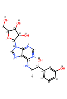 C[C@H](Nc1ncnc2c1ncn2C1OC(CO)C(O)C1O)[C@H](O)c1cccc(O)c1